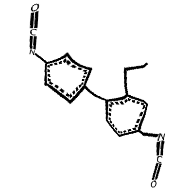 CCc1cc(N=C=O)ccc1-c1ccc(N=C=O)cc1